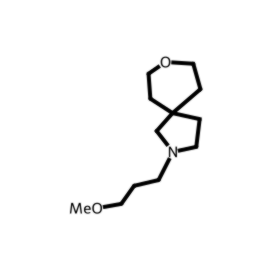 COCCCN1CCC2(CCOCC2)C1